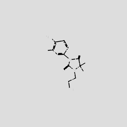 CC1(C)C(=O)N(c2ccc(C#N)c(C(F)(F)F)c2)C(=O)N1CCS